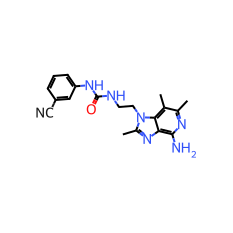 Cc1nc(N)c2nc(C)n(CCNC(=O)Nc3cccc(C#N)c3)c2c1C